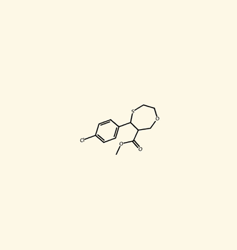 COC(=O)C1COCCSC1c1ccc(Cl)cc1